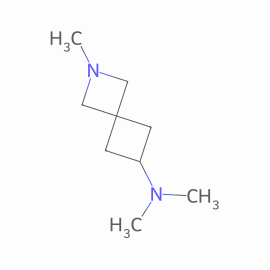 CN1CC2(CC(N(C)C)C2)C1